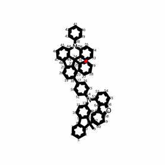 CC1(C)c2ccccc2-c2ccc(N(c3ccc(-c4ccc5c(c4)C4(c6ccccc6)c6ccccc6N(c6ccccc6)c6cccc-5c64)cc3)c3cccc4oc5ccccc5c34)cc21